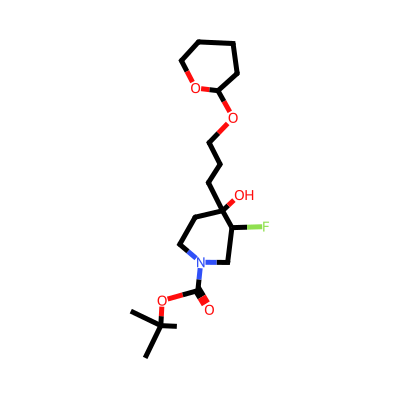 CC(C)(C)OC(=O)N1CCC(O)(CCCOC2CCCCO2)C(F)C1